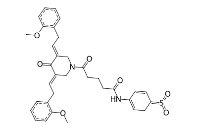 COc1ccccc1C/C=C1\CN(C(=O)CCCC(=O)NC2=CCC(=S(=O)=O)C=C2)C/C(=C\Cc2ccccc2OC)C1=O